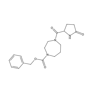 O=C1CCC(C(=O)N2CCCN(C(=O)OCc3ccccc3)CC2)N1